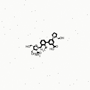 COc1c(CN2O[C@@H](CO)[C@@H](CO)[C@H]2C(N)=O)cccc1-c1cc(C(=O)O)cc(N2CCC[C@@H]2CO)c1